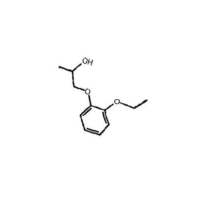 CCOc1ccccc1OCC(C)O